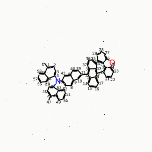 Cc1ccc(N(c2ccc3cc(-c4c5ccccc5c(-c5cccc6oc7ccccc7c56)c5ccccc45)ccc3c2)c2ccc(C)c3ccccc23)c2ccccc12